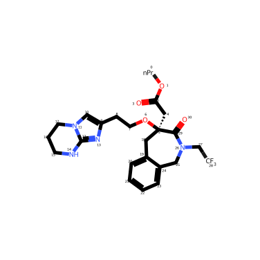 CCCOC(=O)C[C@@]1(OCCc2cn3c(n2)NCCC3)Cc2ccccc2CN(CC(F)(F)F)C1=O